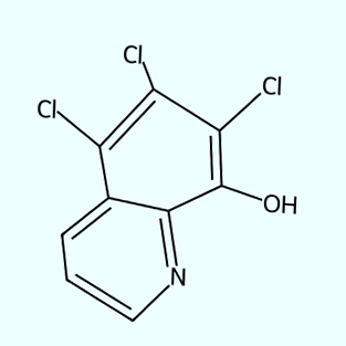 Oc1c(Cl)c(Cl)c(Cl)c2cccnc12